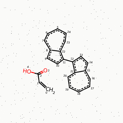 C=CC(=O)O.c1ccc2ccc(-c3ccc4cccccc3-4)c-2cc1